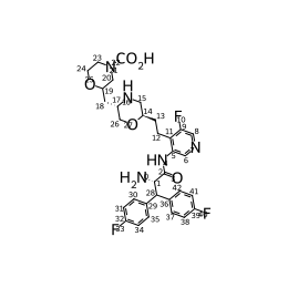 N[C@H](C(=O)Nc1cncc(F)c1CC[C@@H]1CN[C@@H](CC2CN(C(=O)O)CCO2)CO1)C(c1ccc(F)cc1)c1ccc(F)cc1